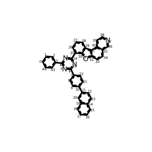 c1ccc(-c2nc(-c3ccc(-c4ccc5ccccc5c4)cc3)nc(-c3cccc4c3oc3ccc5cnccc5c34)n2)cc1